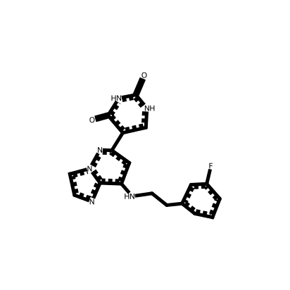 O=c1[nH]cc(-c2cc(NCCc3cccc(F)c3)c3nccn3n2)c(=O)[nH]1